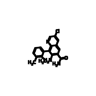 Cc1cccc(-c2c(N)c(C(N)=O)cc3cc(Cl)cnc23)c1C